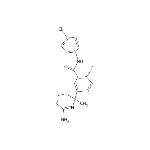 CC1(c2ccc(F)c(C(=O)Nc3ccc(Cl)cc3)c2)CCSC(N)=N1